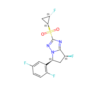 O=S(=O)(c1nc2n(n1)[C@H](c1cc(F)ccc1F)C[C@@H]2F)[C@H]1C[C@@H]1F